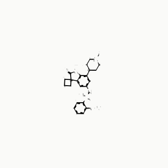 COc1ccccc1S(=O)(=O)Nc1cc(C2CCN(C)CC2)c2c(c1)C1(CCC1)C(=O)N2